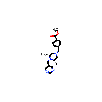 COC(=O)c1ccc(CN2C[C@@H](C)N(Cc3cncnc3)[C@@H](C)C2)cc1